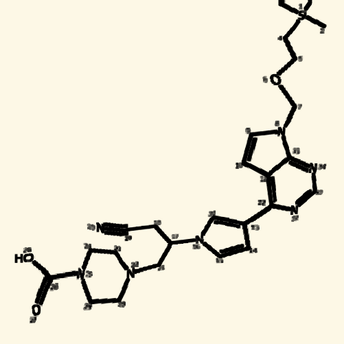 C[Si](C)(C)CCOCn1ccc2c(-c3ccn(C(CC#N)CN4CCN(C(=O)O)CC4)c3)ncnc21